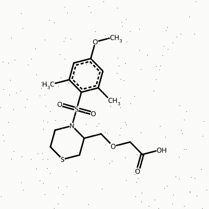 COc1cc(C)c(S(=O)(=O)N2CCSCC2COCC(=O)O)c(C)c1